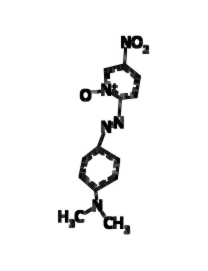 CN(C)c1ccc(N=Nc2ccc([N+](=O)[O-])c[n+]2[O-])cc1